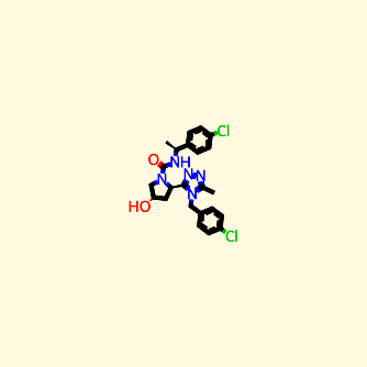 Cc1nnc([C@H]2C[C@H](O)CN2C(=O)N[C@@H](C)c2ccc(Cl)cc2)n1Cc1ccc(Cl)cc1